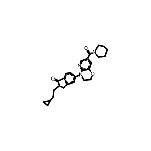 O=C1c2ccc(N3CCOc4cc(C(=O)N5CCCCC5)cnc43)cc2CC1CCC1CC1